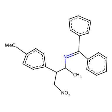 COc1ccc(C(C[N+](=O)[O-])C(C)N=C(c2ccccc2)c2ccccc2)cc1